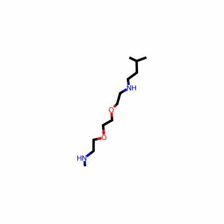 CNCCOCCOCCNCCC(C)C